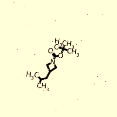 CC(C)CC1CN(C(=O)OC(C)(C)C)C1